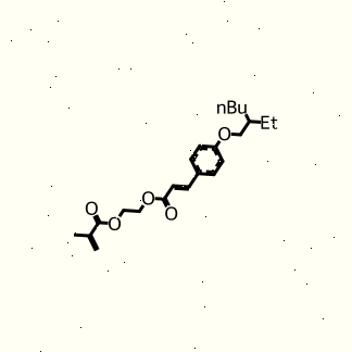 C=C(C)C(=O)OCCOC(=O)/C=C/c1ccc(OCC(CC)CCCC)cc1